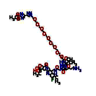 CC[C@@]1(O)C(=O)OCc2c1cc1n(c2=O)Cc2c-1nc1cc(F)c(C)cc1c2CNC(=O)CNC(=O)[C@H](CCCCN)NC(=O)[C@@H](NC(=O)COCCOCCOCCOCCOCCOCCOCCOCCOCCn1cc(-c2cnc(S(C)(=O)=O)nc2)nn1)C(C)C